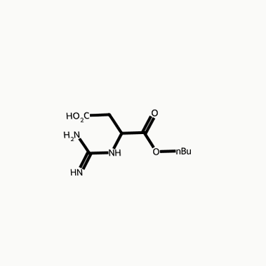 CCCCOC(=O)C(CC(=O)O)NC(=N)N